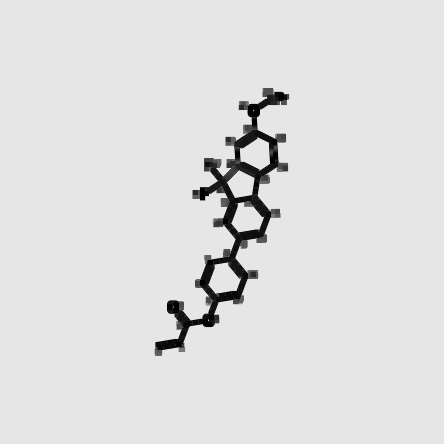 C=CC(=O)Oc1ccc(-c2ccc3c(c2)C(F)(F)c2cc(OCCC)ccc2-3)cc1